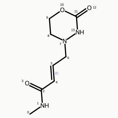 CNC(=O)/C=C/CN1CCOC(=O)N1